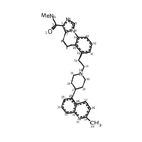 CNC(=O)c1ncn2c1CCc1c(CCN3CCC(c4cccc5nc(C)ccc45)CC3)cccc1-2